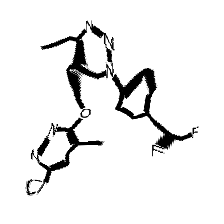 Cc1cc(Cl)nnc1OCc1c(C)nnn1-c1ccc(C(F)F)cc1